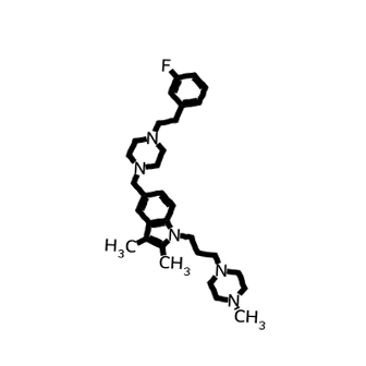 Cc1c(C)n(CCCN2CCN(C)CC2)c2ccc(CN3CCN(CCc4cccc(F)c4)CC3)cc12